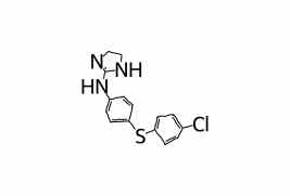 Clc1ccc(Sc2ccc(NC3=NCCN3)cc2)cc1